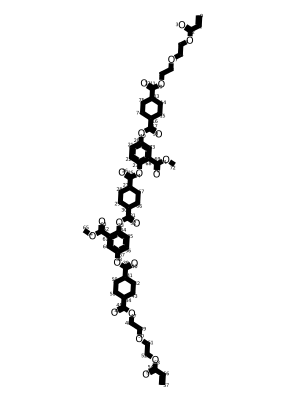 C=CC(=O)OCCOCCOC(=O)C1CCC(C(=O)Oc2ccc(OC(=O)C3CCC(C(=O)Oc4ccc(OC(=O)C5CCC(C(=O)OCCOCCOC(=O)C=C)CC5)cc4C(=O)OC)CC3)c(C(=O)OC)c2)CC1